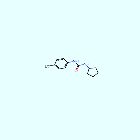 CCc1ccc(NC(=O)NC2CCCC2)cc1